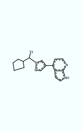 CCC(C1CCCC1)n1cc(-c2ccnc3[nH]ccc23)cn1